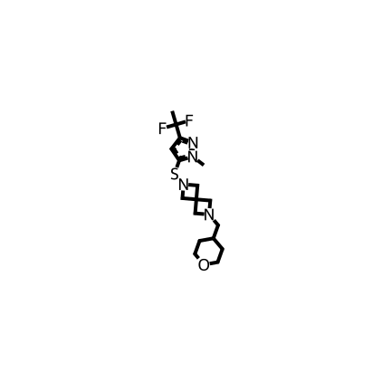 Cn1nc(C(C)(F)F)cc1SN1CC2(CN(CC3CCOCC3)C2)C1